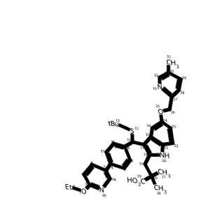 CCOc1ccc(-c2ccc(C(SC(C)(C)C)c3c(CC(C)(C)C(=O)O)[nH]c4ccc(OCc5ccc(C)cn5)cc34)cc2)cn1